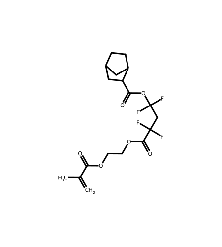 C=C(C)C(=O)OCCOC(=O)C(F)(F)CC(F)(F)OC(=O)C1CC2CCC1C2